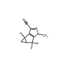 Cn1nc(C#N)c2c1C(F)(F)C1C[C@H]21